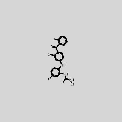 CCNC(=O)Nc1cc(F)ccc1Nc1ccc(C(=O)c2ccccc2C)c(Cl)c1